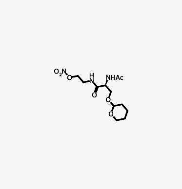 CC(=O)N[C@@H](COC1CCCCO1)C(=O)NCCO[N+](=O)[O-]